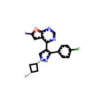 Fc1ccc(-c2nn([C@H]3C[C@@H](F)C3)cc2-c2ncnc3oc(I)cc23)cc1